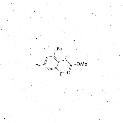 COC(=O)Nc1c(F)cc(F)cc1C(C)(C)C